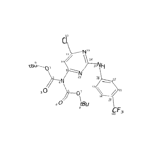 CC(C)(C)OC(=O)N(C(=O)OC(C)(C)C)c1cc(Cl)nc(Nc2ccc(C(F)(F)F)cc2)n1